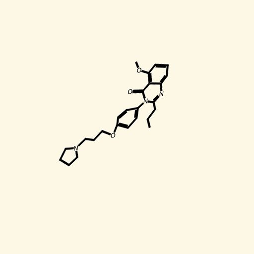 CCCc1nc2cccc(OC)c2c(=O)n1-c1ccc(OCCCN2CCCC2)cc1